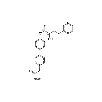 CNC(=O)Cc1ccc(-c2ccc(O[C@@H](C)[C@H](O)CCc3cccnc3)cc2)cc1